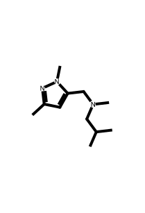 Cc1cc(CN(C)CC(C)C)n(C)n1